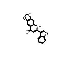 O=c1cc(-c2coc3ccccc23)[nH]c2cc3c(cc12)OCO3